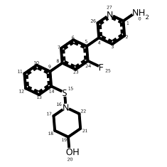 Nc1ccc(-c2ccc(-c3ccccc3SN3CCC(O)CC3)cc2F)cn1